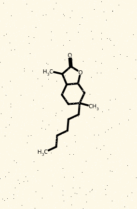 CCCCCCC1(C)CCC2C(C1)OC(=O)C2C